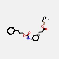 CCSOC(=O)CC[C@@H]1CCC[C@H](NC(=O)OCCCC2=CC=CC=C=C2)C1